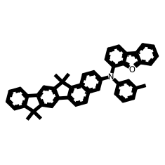 Cc1cccc(N(c2ccc3c4c(ccc3c2)-c2cc3c(cc2C4(C)C)-c2ccccc2C3(C)C)c2cccc3c2oc2ccccc23)c1